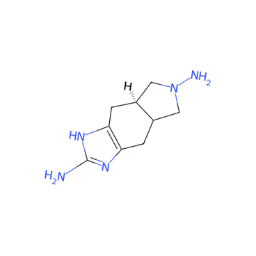 Nc1nc2c([nH]1)C[C@H]1CN(N)CC1C2